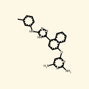 Cc1cccc(Nc2nnc(-c3ccc(Oc4cc(N)nc(N)n4)c4ccccc34)[nH]2)c1